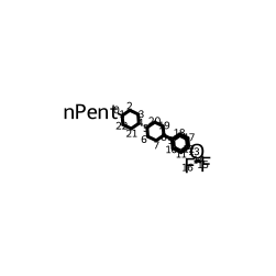 CCCCC[C@H]1CC[C@H](C2CCC(c3ccc(OC(F)F)cc3)CC2)CC1